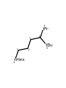 CCCCCCCCCC([C](C)C)C(C)(C)C